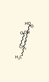 CCCCCCCC(=O)O.CCCCCCCC/C=C/CCCCCCCC(=O)O